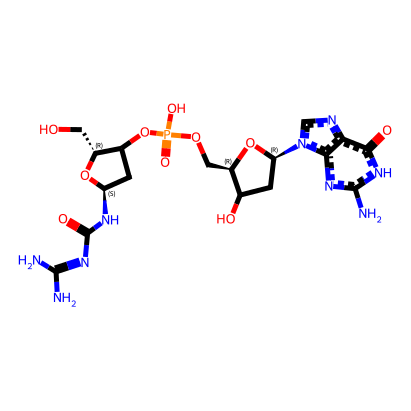 NC(N)=NC(=O)N[C@@H]1CC(OP(=O)(O)OC[C@H]2O[C@@H](n3cnc4c(=O)[nH]c(N)nc43)CC2O)[C@@H](CO)O1